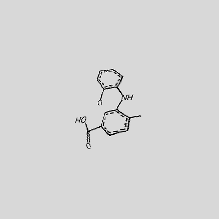 Cc1ccc(C(=O)O)cc1Nc1ccccc1Cl